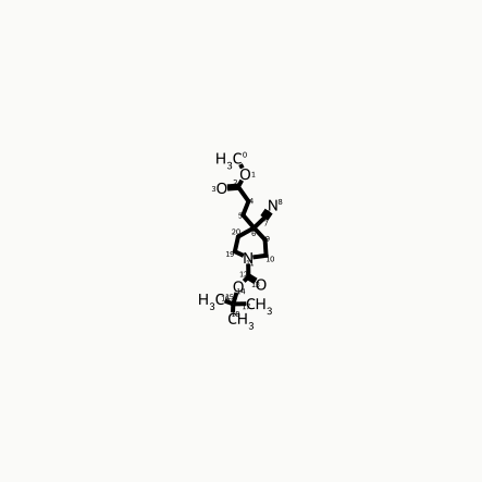 COC(=O)CCC1(C#N)CCN(C(=O)OC(C)(C)C)CC1